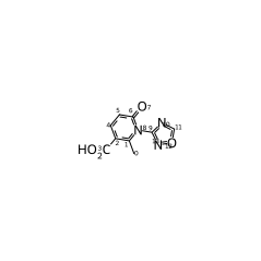 Cc1c(C(=O)O)ccc(=O)n1-c1ncon1